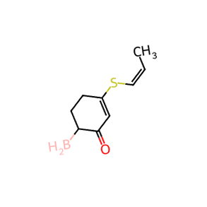 BC1CCC(S/C=C\C)=CC1=O